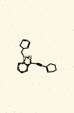 C(#Cc1nn(CC2C=CC=CC2)c2ccccc12)C1=CCCCC1